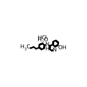 CCCCc1ccc(Nc2ccnc3c(O)cccc23)cc1.Cl.O